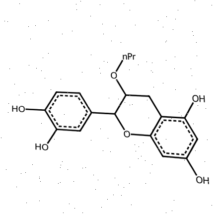 CCCOC1Cc2c(O)cc(O)cc2OC1c1ccc(O)c(O)c1